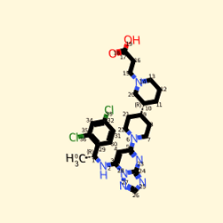 C[C@@H](Nc1cc(N2CCC([C@H]3CCCN(CCC(=O)O)C3)CC2)nc2ncnn12)c1ccc(Cl)cc1Cl